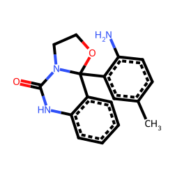 Cc1ccc(N)c(C23OCCN2C(=O)Nc2ccccc23)c1